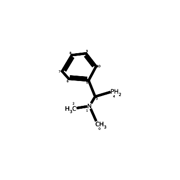 CN(C)C(P)c1ccccc1